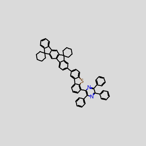 c1ccc(-c2nc(-c3ccccc3)c(-c3cccc4c3sc3ccc(-c5ccc6c(c5)C5(CCCCC5)c5cc7c(cc5-6)C5(CCCCC5)c5ccccc5-7)cc34)nc2-c2ccccc2)cc1